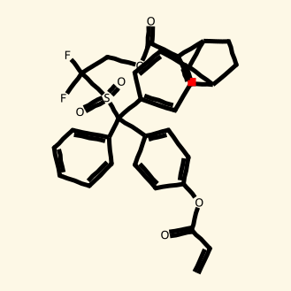 C=CC(=O)Oc1ccc(C(c2ccccc2)(c2ccccc2)S(=O)(=O)C(F)(F)COC(=O)C2CC3CCC2C3)cc1